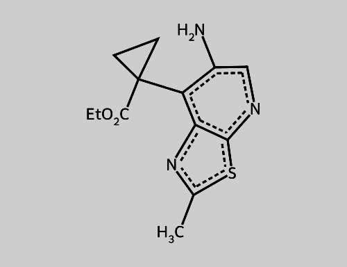 CCOC(=O)C1(c2c(N)cnc3sc(C)nc23)CC1